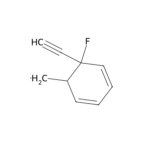 C#CC1(F)C=CC=CC1[CH2]